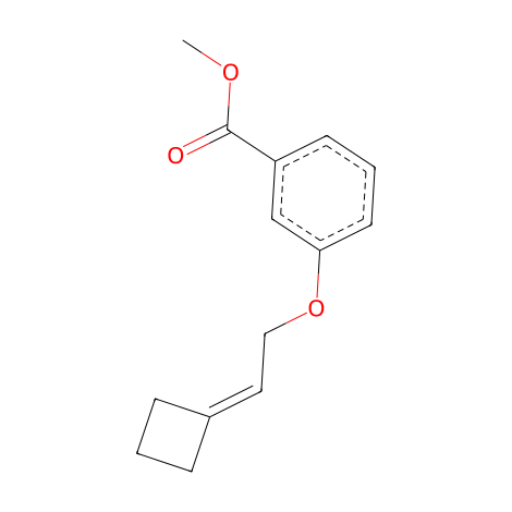 COC(=O)c1cccc(OCC=C2CCC2)c1